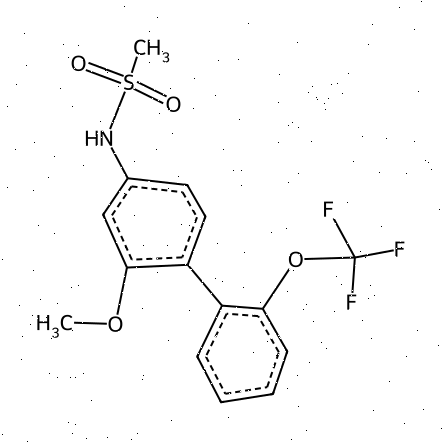 COc1cc(NS(C)(=O)=O)ccc1-c1ccccc1OC(F)(F)F